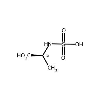 C[C@H](NS(=O)(=O)O)C(=O)O